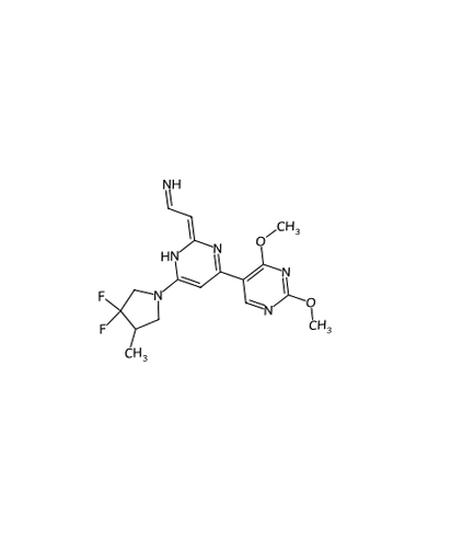 COc1ncc(C2=N/C(=C/C=N)NC(N3CC(C)C(F)(F)C3)=C2)c(OC)n1